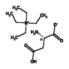 CC[N+](CC)(CC)CC.N[C@@H](CC(=O)O)C(=O)[O-]